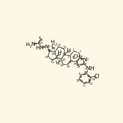 C[C@]12CCc3nc(Nc4ccccc4Cl)sc3C1=CC[C@@H]1[C@@H]2CC[C@]2(C)/C(=N/NC(N)=S)CC[C@@H]12